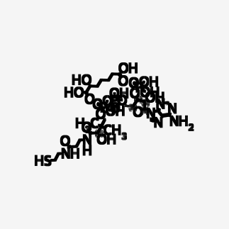 CC(C)(COP(=O)(O)OP(=O)(O)OC[C@H]1O[C@@H](n2cnc3c(N)ncnc32)[C@H](O)[C@@H]1OP(=O)(O)O)[C@@H](O)C(=O)NCCC(=O)NCCS.O=C(O)CCCCC(O)C(=O)O